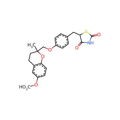 CC1(COc2ccc(CC3SC(=O)NC3=O)cc2)CCc2cc(OC(=O)O)ccc2O1